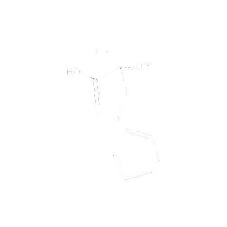 CC(O)(COc1ccccc1)C(=O)O